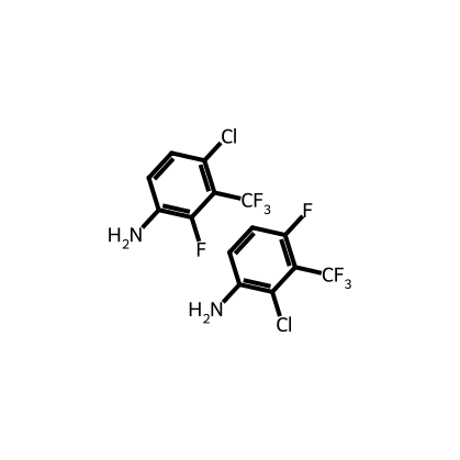 Nc1ccc(Cl)c(C(F)(F)F)c1F.Nc1ccc(F)c(C(F)(F)F)c1Cl